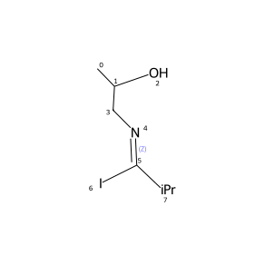 CC(O)C/N=C(\I)C(C)C